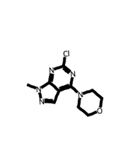 Cn1ncc2c(N3CCOCC3)nc(Cl)nc21